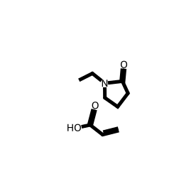 C=CC(=O)O.CCN1CCCC1=O